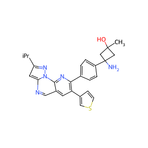 CC(C)c1cc2ncc3cc(-c4ccsc4)c(-c4ccc(C5(N)CC(C)(O)C5)cc4)nc3n2n1